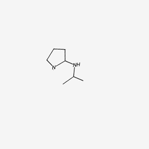 CC(C)NC1CCC[N]1